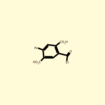 CCC(=O)c1cc(C(=O)O)c(C(C)=O)cc1C(=O)O